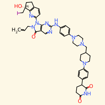 C=CCn1c(=O)c2cnc(Nc3ccc(N4CCN(CC5CCN(c6ccc(C7CCC(=O)NC7=O)cc6)CC5)CC4)cc3)nc2n1-c1ccc2c(n1)[C@@](O)(CI)CC2